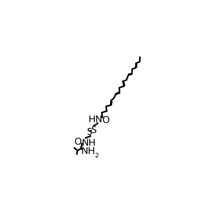 CCC=CCC=CCC=CCC=CCC=CCCCC(=O)NCCSSCCNC(=O)C(N)C(C)C